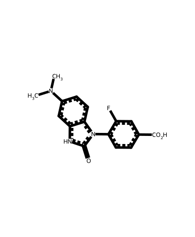 CN(C)c1ccc2c(c1)[nH]c(=O)n2-c1ccc(C(=O)O)cc1F